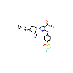 N=C[C@H]1C[C@@H](NCC2CC2)CC[C@@H]1n1cc(C(N)=O)c(Nc2ccc(S(=O)(=O)C(F)(F)F)cc2)n1